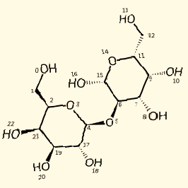 OC[C@H]1O[C@@H](O[C@@H]2[C@@H](O)[C@@H](O)[C@@H](CO)O[C@H]2O)[C@H](O)[C@@H](O)[C@H]1O